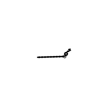 CC#CC#CC#CC#CC#CC#CC#CC#CC#COc1ccc(/C=C/C(C)(C)C)cc1